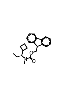 CC[C@@H](C1CCC1)N(C)C(=O)OCC1c2ccccc2-c2ccccc21